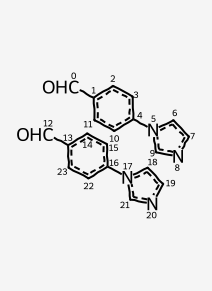 O=Cc1ccc(-n2ccnc2)cc1.O=Cc1ccc(-n2ccnc2)cc1